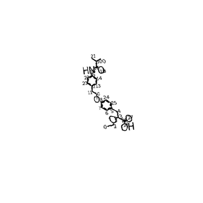 CCOC(Cc1ccc(OCCc2ccc(NC(=O)C(C)C)cc2)cc1)C(=O)O